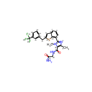 Cc1nc(-c2cccc3cc(Cc4cccc(C(F)(F)F)c4)sc23)n(C)c1C(=O)NCC(N)=O